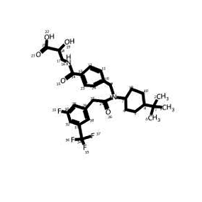 CC(C)(C)C1CCC(N(Cc2ccc(C(=O)NCC(O)C(=O)O)cc2)C(=O)Cc2cc(F)cc(C(F)(F)F)c2)CC1